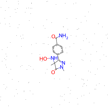 CN1N=C(c2ccc(C(N)=O)cc2)C(C)(NO)C1=O